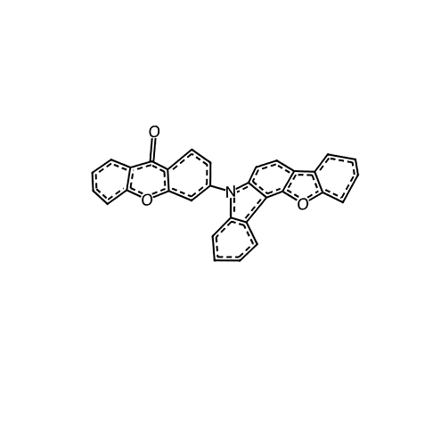 O=c1c2ccccc2oc2cc(-n3c4ccccc4c4c5oc6ccccc6c5ccc43)ccc12